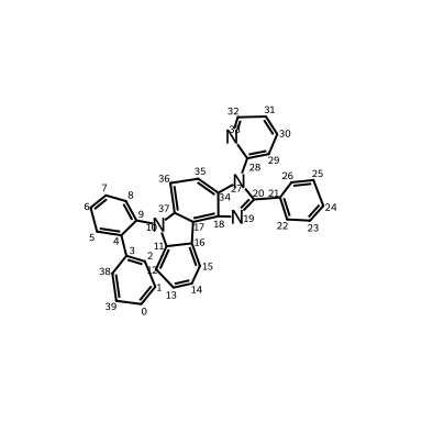 c1ccc(-c2ccccc2-n2c3ccccc3c3c4nc(-c5ccccc5)n(-c5ccccn5)c4ccc32)cc1